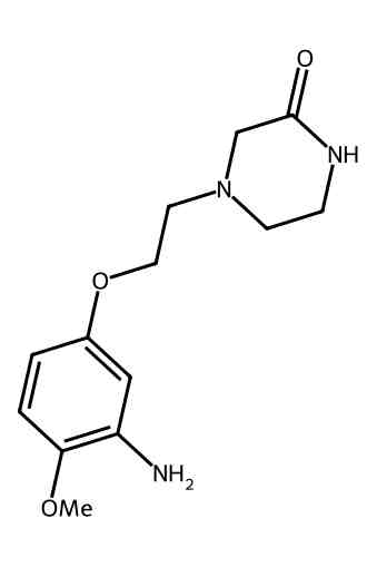 COc1ccc(OCCN2CCNC(=O)C2)cc1N